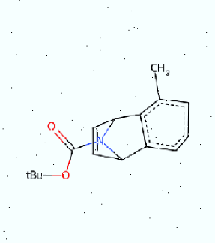 Cc1cccc2c1C1C=CC2N1C(=O)OC(C)(C)C